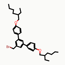 CCCCC(CC)COc1ccc(-c2cc(CBr)cc(-c3ccc(OCC(CC)CCCC)cc3)c2)cc1